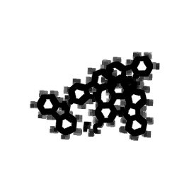 Fc1cc(F)cc(-c2c(-n3c4ccccc4c4ccc(-n5c6ccccc6c6ccccc65)cc43)cc(C(F)(F)F)cc2-n2c3ccccc3c3ccc(-n4c5ccccc5c5ccccc54)cc32)c1